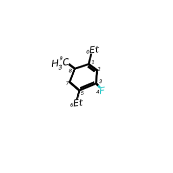 CCC1=CC(F)=C(CC)CC1C